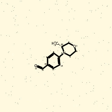 C[C@@H]1COCCN1c1ccc(C=O)cc1